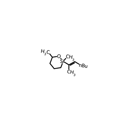 CCCCC=C(C)[Si]1(C)CCCC(C)O1